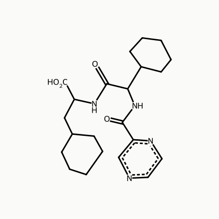 O=C(NC(C(=O)NC(CC1CCCCC1)C(=O)O)C1CCCCC1)c1cnccn1